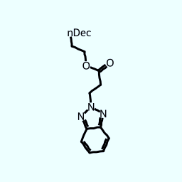 CCCCCCCCCCCCOC(=O)CCn1nc2ccccc2n1